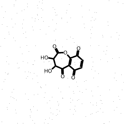 O=C1C=CC(=O)C2=C1OC(=O)C(O)C(O)C2=O